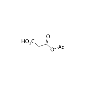 CC(=O)OC(=O)CC(=O)O